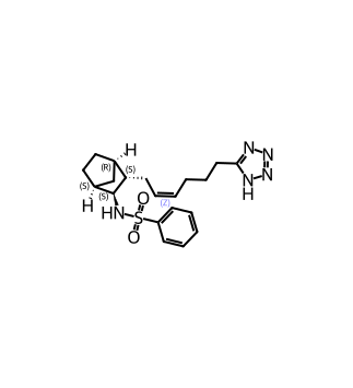 O=S(=O)(N[C@H]1[C@H]2CC[C@H](C2)[C@@H]1C/C=C\CCCc1nnn[nH]1)c1ccccc1